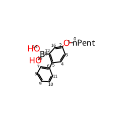 CCCCCOc1ccc(-c2ccccc2)c(B(O)O)c1